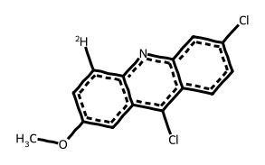 [2H]c1cc(OC)cc2c(Cl)c3ccc(Cl)cc3nc12